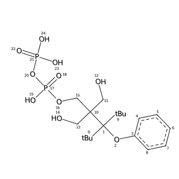 CC(C)(C)C(Oc1ccccc1)(C(C)(C)C)C(CO)(CO)COP(=O)(O)OP(=O)(O)O